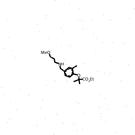 CCOC(=O)C(C)(C)Oc1ccc(CNCCCOC)cc1C